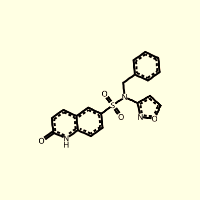 O=c1ccc2cc(S(=O)(=O)N(Cc3ccccc3)c3ccon3)ccc2[nH]1